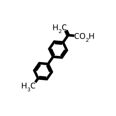 C=C(C(=O)O)c1ccc(-c2ccc(C)cc2)cc1